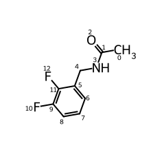 CC(=O)NCc1cccc(F)c1F